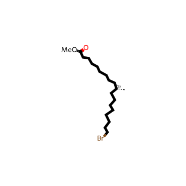 COC(=O)CCCCCCCC[C@H](C)CCCCCCCCBr